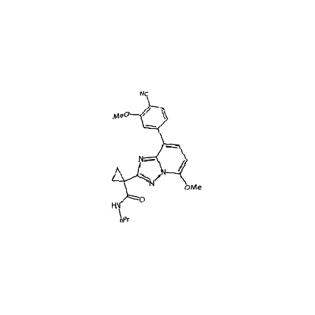 CCCNC(=O)C1(c2nc3c(-c4ccc(C#N)c(OC)c4)ccc(OC)n3n2)CC1